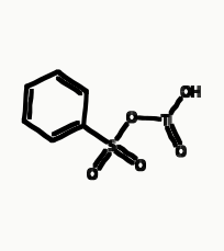 [O]=[Ti]([OH])[O]S(=O)(=O)c1ccccc1